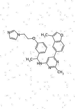 Cc1nc(NC(C)c2cccc(OCCn3ccnc3)c2)cc(-c2ccc3occ(C)c3c2)n1